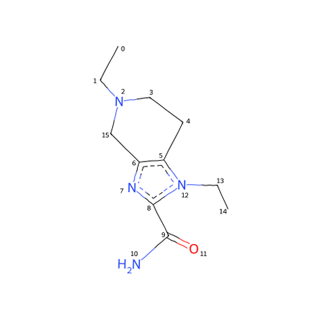 CCN1CCc2c(nc(C(N)=O)n2CC)C1